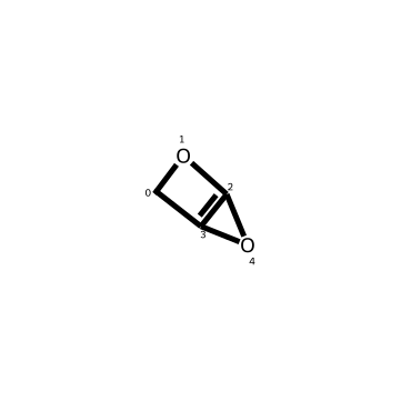 C1OC2=C1O2